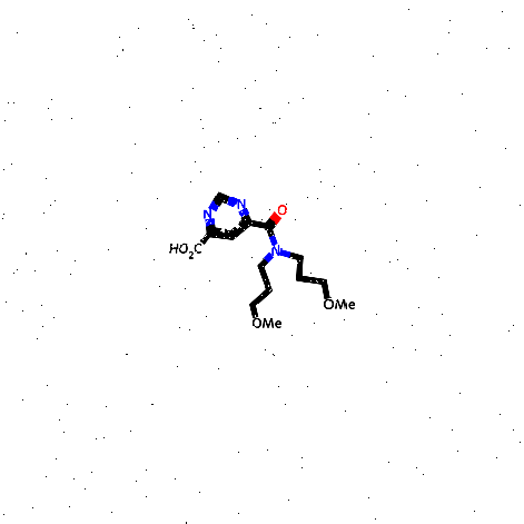 COCCCN(CCCOC)C(=O)c1cc(C(=O)O)ncn1